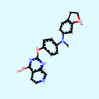 CN(c1ccc(Oc2nc(O)c3ccncc3n2)cc1)c1ccc2c(c1)OCC2